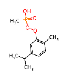 Cc1ccc(C(C)C)cc1OOP(C)(=O)O